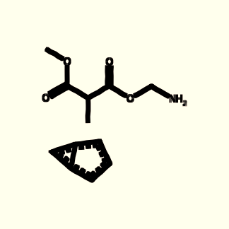 COC(=O)C(C)C(=O)OCN.c1cc2cc-2c1